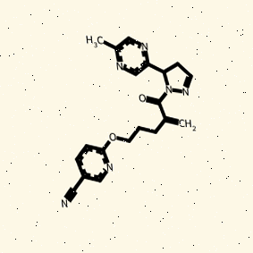 C=C(CCCOc1ccc(C#N)cn1)C(=O)N1N=CCC1c1cnc(C)cn1